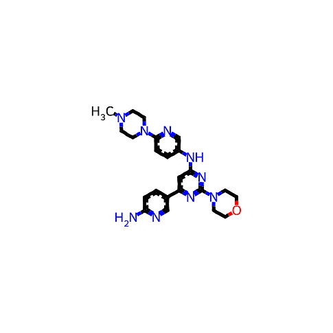 CN1CCN(c2ccc(Nc3cc(-c4ccc(N)nc4)nc(N4CCOCC4)n3)cn2)CC1